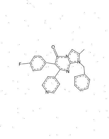 Cc1cn2c(=O)c(-c3ccc(F)cc3)c(-c3ccncc3)nc2n1Cc1ccccc1